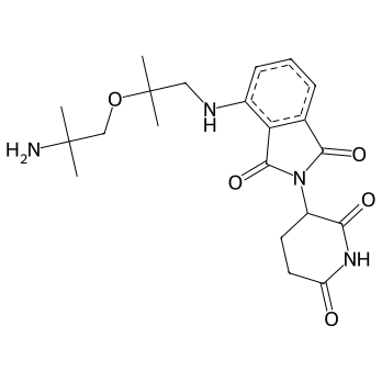 CC(C)(N)COC(C)(C)CNc1cccc2c1C(=O)N(C1CCC(=O)NC1=O)C2=O